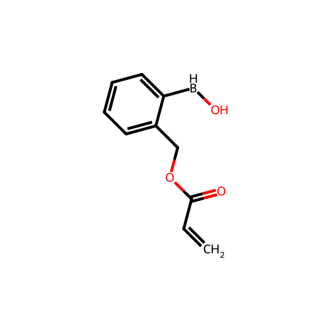 C=CC(=O)OCc1ccccc1BO